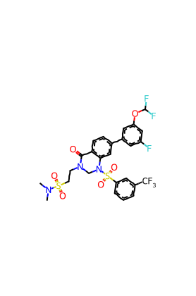 CN(C)S(=O)(=O)CCN1CN(S(=O)(=O)c2cccc(C(F)(F)F)c2)c2cc(-c3cc(F)cc(OC(F)F)c3)ccc2C1=O